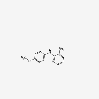 COc1ccc(Nc2ncccc2N)cn1